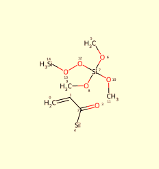 C=CC(=O)[Si].CO[Si](OC)(OC)OO[SiH3]